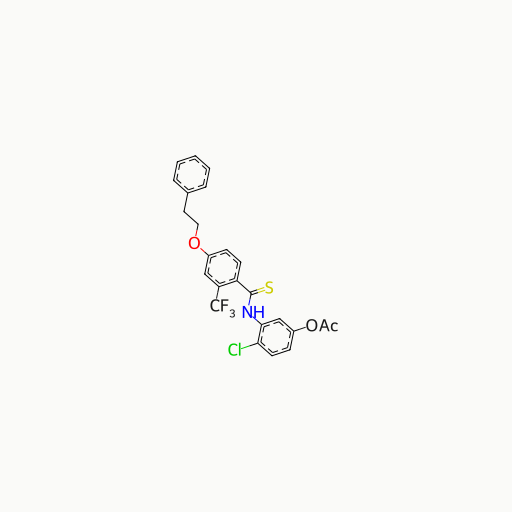 CC(=O)Oc1ccc(Cl)c(NC(=S)c2ccc(OCCc3ccccc3)cc2C(F)(F)F)c1